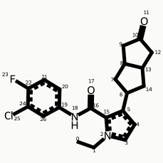 CCn1ccc(C2CC3CC(=O)CC3C2)c1C(=O)Nc1ccc(F)c(Cl)c1